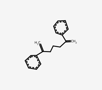 C=C(CCCC(=C)c1ccccc1)c1ccccc1